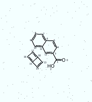 O=C(O)c1ccc2ccccc2c1.c1cc2ccc1-2